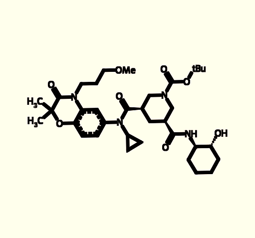 COCCCN1C(=O)C(C)(C)Oc2ccc(N(C(=O)[C@@H]3C[C@H](C(=O)N[C@@H]4CCCC[C@H]4O)CN(C(=O)OC(C)(C)C)C3)C3CC3)cc21